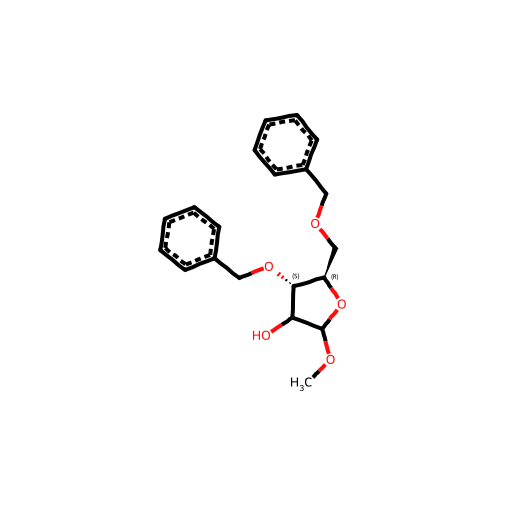 COC1O[C@H](COCc2ccccc2)[C@@H](OCc2ccccc2)C1O